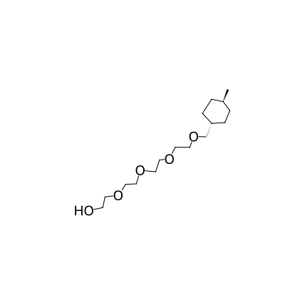 C[C@H]1CC[C@H](COCCOCCOCCOCCO)CC1